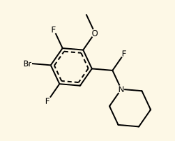 COc1c(C(F)N2CCCCC2)cc(F)c(Br)c1F